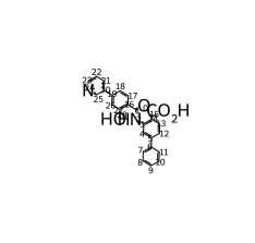 O=C(Nc1cc(-c2ccccc2)ccc1C(=O)O)c1ccc(-c2cccnc2)cc1O